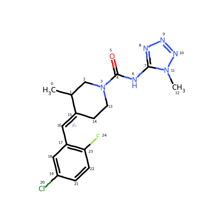 CC1CN(C(=O)Nc2nnnn2C)CC/C1=C\c1cc(Cl)ccc1F